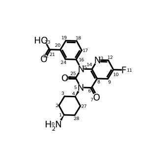 N[C@H]1CC[C@@H](n2c(=O)c3cc(F)cnc3n(-c3cccc(C(=O)O)c3)c2=O)CC1